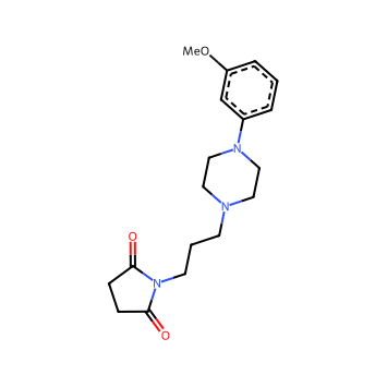 COc1cccc(N2CCN(CCCN3C(=O)CCC3=O)CC2)c1